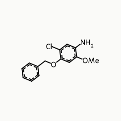 COc1cc(OCc2ccccc2)c(Cl)cc1N